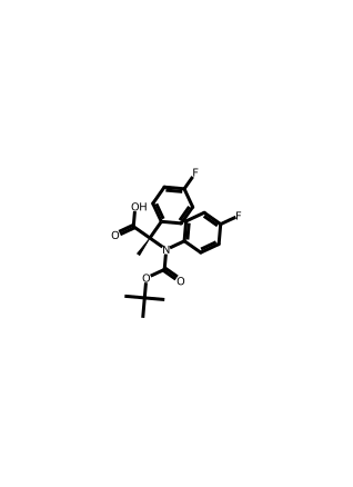 CC(C)(C)OC(=O)N(c1ccc(F)cc1)[C@](C)(C(=O)O)c1ccc(F)cc1